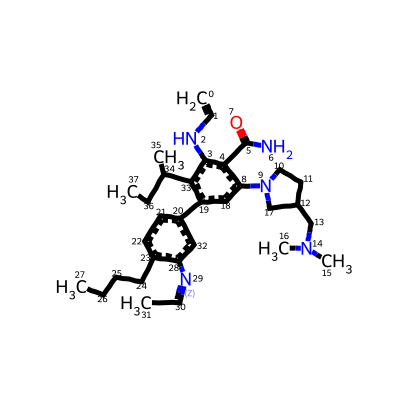 C=CNc1c(C(N)=O)c(N2CCC(CN(C)C)C2)cc(-c2ccc(CCCC)c(/N=C\C)c2)c1C(C)CC